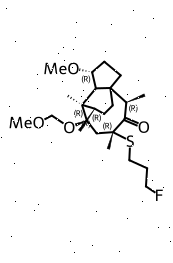 COCO[C@@H]1C[C@@](C)(SCCCF)C(=O)[C@H](C)C23CC[C@@H](C)[C@]1(C)C2[C@H](OC)CC3